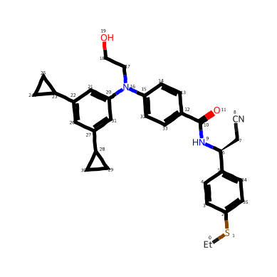 CCSc1ccc([C@H](CC#N)NC(=O)c2ccc(N(CCO)c3cc(C4CC4)cc(C4CC4)c3)cc2)cc1